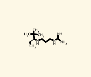 CC[C@H](NCCCNC(=N)N)C(C)(C)C